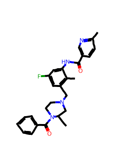 Cc1ccc(C(=O)Nc2cc(F)cc(CN3CCN(C(=O)c4ccccc4)C(C)C3)c2C)cn1